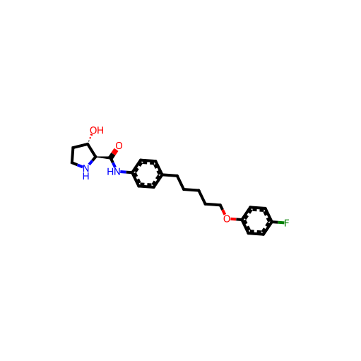 O=C(Nc1ccc(CCCCCOc2ccc(F)cc2)cc1)[C@H]1NCC[C@@H]1O